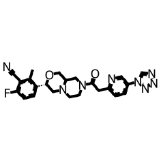 Cc1c([C@H]2CN3CCN(C(=O)Cc4ccc(-n5cnnn5)cn4)CC3CO2)ccc(F)c1C#N